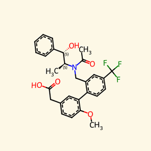 COc1ccc(CC(=O)O)cc1-c1ccc(C(F)(F)F)cc1CN(C(C)=O)[C@@H](C)[C@@H](O)c1ccccc1